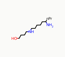 CCCC(N)CCCCCNCCCCO